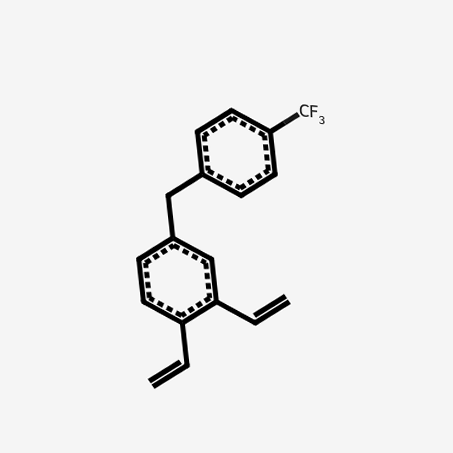 C=Cc1ccc(Cc2ccc(C(F)(F)F)cc2)cc1C=C